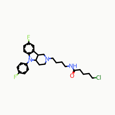 O=C(CCCCCl)NCCCCN1CCC2C(C1)c1cc(F)ccc1N2c1ccc(F)cc1